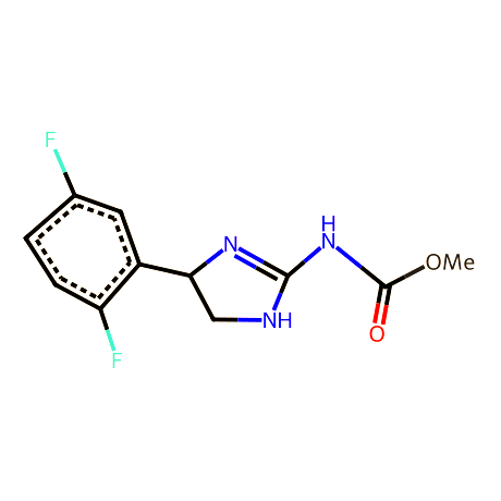 COC(=O)NC1=NC(c2cc(F)ccc2F)CN1